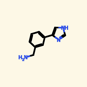 NCc1cccc(-c2c[nH]cn2)c1